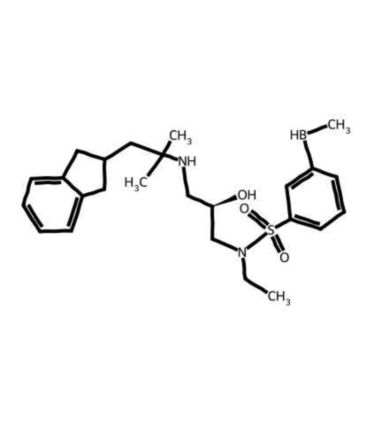 CBc1cccc(S(=O)(=O)N(CC)C[C@H](O)CNC(C)(C)CC2Cc3ccccc3C2)c1